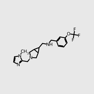 Cn1ccnc1CN1CC2C(CNCc3cccc(OC(F)(F)F)c3)C2C1